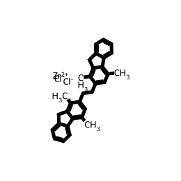 Cc1cc(CCc2cc(C)c3c(c2C)Cc2ccccc2-3)c(C)c2c1-c1ccccc1C2.[Cl-].[Cl-].[Zr+2]